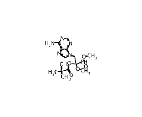 CO[PH](=O)C(Cn1cnc2c(N)ncnc21)(OC)OC(=O)C(C)(C)C